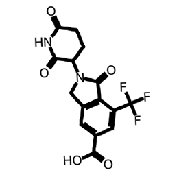 O=C1CCC(N2Cc3cc(C(=O)O)cc(C(F)(F)F)c3C2=O)C(=O)N1